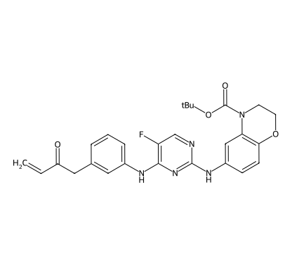 C=CC(=O)Cc1cccc(Nc2nc(Nc3ccc4c(c3)N(C(=O)OC(C)(C)C)CCO4)ncc2F)c1